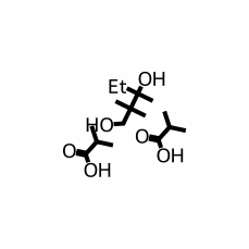 CC(C)C(=O)O.CC(C)C(=O)O.CCC(C)(O)C(C)(C)CO